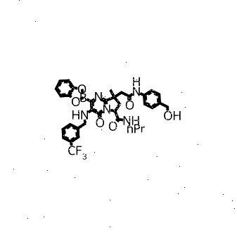 CCCNC(=O)C1CC(C)(CC(=O)Nc2ccc(CO)cc2)c2nc(B3Oc4ccccc4O3)c(NCc3cccc(C(F)(F)F)c3)c(=O)n21